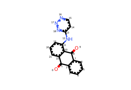 O=C1c2ccccc2C(=O)c2c(Nc3ccnnn3)cccc21